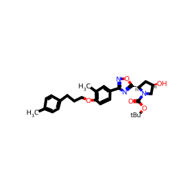 Cc1ccc(CCCOc2ccc(-c3noc([C@@H]4C[C@@H](O)CN4C(=O)OC(C)(C)C)n3)cc2C)cc1